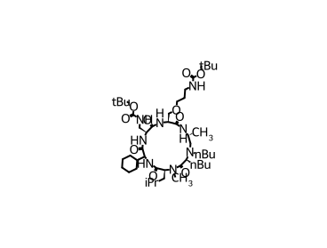 CCCC[C@H]1C(=O)N(C)[C@@H](CC(C)C)C(=O)NC(C2CCCCC2)C(=O)N[C@@H](CNC(=O)OC(C)(C)C)C(=O)N[C@@H](COCCCNC(=O)OC(C)(C)C)C(=O)N[C@H](C)CN1CCCC